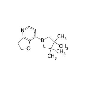 CC1(C)CB(c2ccnc3c2OCC3)CC1(C)C